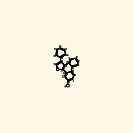 Clc1ccc2c3ccccc3c3c(-c4ccccc4)coc3c2c1